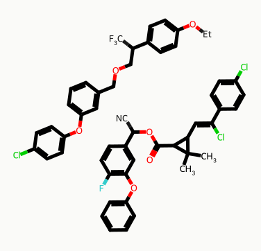 CC1(C)C(/C=C(\Cl)c2ccc(Cl)cc2)C1C(=O)OC(C#N)c1ccc(F)c(Oc2ccccc2)c1.CCOc1ccc(C(COCc2cccc(Oc3ccc(Cl)cc3)c2)C(F)(F)F)cc1